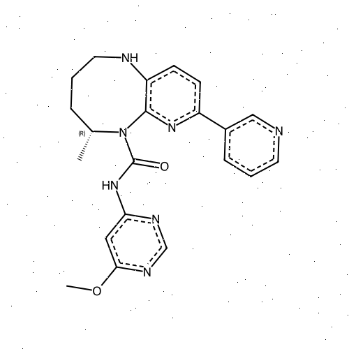 COc1cc(NC(=O)N2c3nc(-c4cccnc4)ccc3NCCC[C@H]2C)ncn1